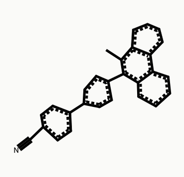 Cc1c(-c2ccc(-c3ccc(C#N)cc3)cc2)c2ccccc2c2ccccc12